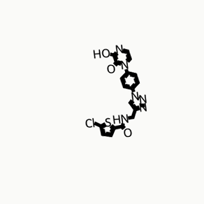 O=C(NCc1cn(-c2ccc(-n3ccnc(O)c3=O)cc2)nn1)c1ccc(Cl)s1